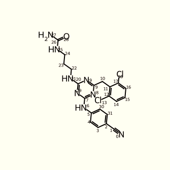 N#Cc1ccc(Nc2nc(Cc3c(Cl)cccc3Cl)nc(NCCCNC(N)=O)n2)cc1